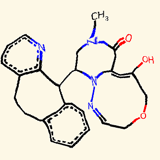 CN1CC(C2c3ccccc3CCc3cccnc32)N2/N=C\COC/C(O)=C\2C1=O